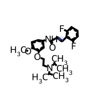 COc1ccc(NC(=O)/C=C/c2c(F)cccc2F)cc1OCCN(C(C)C)C(C)C